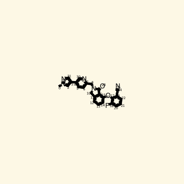 Cn1cc(-c2ccc(CN3Cc4cccc(Oc5c(F)cccc5C#N)c4C3=O)nc2)cn1